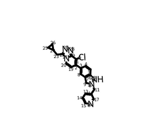 Clc1c(-c2ccc3c(c2)CN(Cc2cccnc2)N3)ccn2c(CC3CC3)nnc12